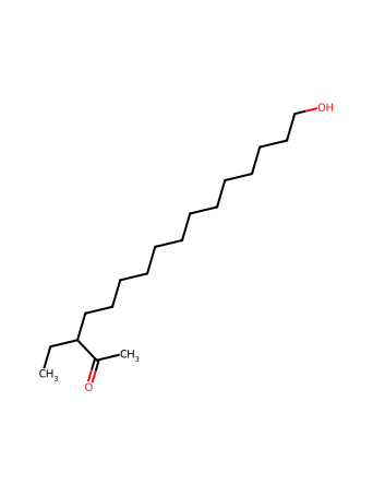 CCC(CCCCCCCCCCCCCO)C(C)=O